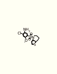 COc1cc(Cl)c(N)cc1S(=O)(=O)N1CCCCc2sccc21